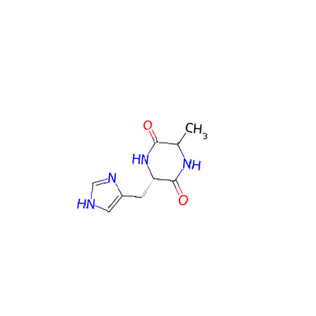 CC1NC(=O)[C@H](Cc2c[nH]cn2)NC1=O